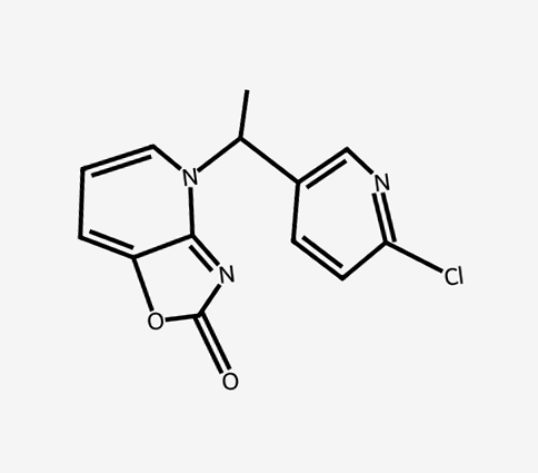 CC(c1ccc(Cl)nc1)n1cccc2oc(=O)nc1-2